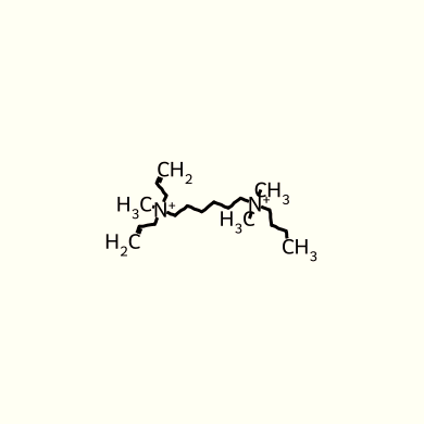 C=CC[N+](C)(CC=C)CCCCCC[N+](C)(C)CCCC